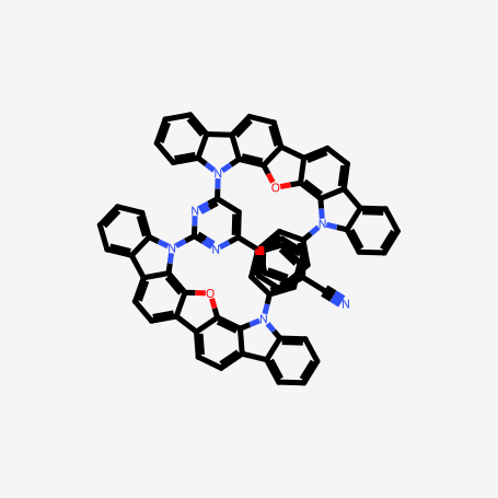 N#Cc1ccc(-c2cc(-n3c4ccccc4c4ccc5c6ccc7c8ccccc8n(-c8ccccc8)c7c6oc5c43)nc(-n3c4ccccc4c4ccc5c6ccc7c8ccccc8n(-c8ccccc8)c7c6oc5c43)n2)cc1